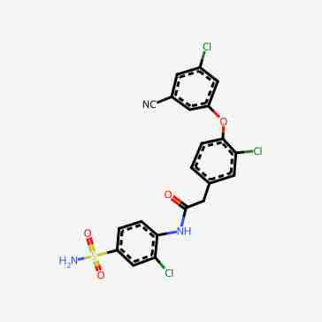 N#Cc1cc(Cl)cc(Oc2ccc(CC(=O)Nc3ccc(S(N)(=O)=O)cc3Cl)cc2Cl)c1